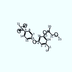 CCc1cc(Oc2ccc(S(C)(=O)=O)cc2)cc(O[C@@H](C)COC)c1